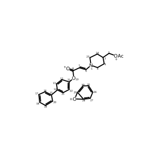 CC(=O)OCC1CCN(C=CC(=O)Oc2ccc(-c3ccccc3)cc2)CC1.c1ccc2c(c1)O2